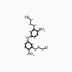 O=[N+]([O-])c1ccc(Oc2ccc([N+](=O)[O-])c(CCCCl)c2)cc1CCCCl